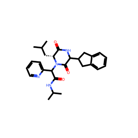 CC(C)C[C@@H]1C(=O)NC(C2Cc3ccccc3C2)C(=O)N1C(C(=O)NC(C)C)c1ccccn1